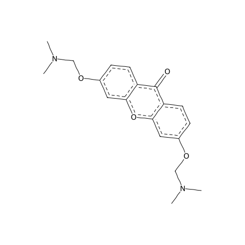 CN(C)COc1ccc2c(=O)c3ccc(OCN(C)C)cc3oc2c1